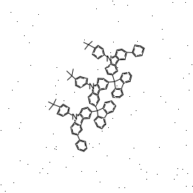 CC(C)(C)c1ccc(-n2c3ccc(-c4ccccc4)cc3c3cc(C4(c5ccc6c(c5)c5cc(C7(c8ccc9c(c8)c8cc(-c%10ccccc%10)ccc8n9-c8ccc(C(C)(C)C)cc8)c8ccccc8-c8ccccc87)ccc5n6-c5ccc(C(C)(C)C)cc5)c5ccccc5-c5ccccc54)ccc32)cc1